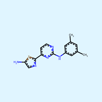 Cc1cc(C)cc(Nc2nccc(-c3ncc(N)s3)n2)c1